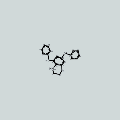 c1ccc(Sc2cc3c(c(Sc4ccccc4)c2)NCCC3)cc1